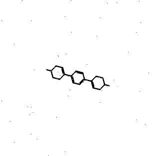 CCCCCCCC1CC=C(c2ccc(C3=CCC(CCCCCCC)CC3)cc2)CC1